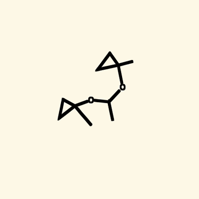 C[C](OC1(C)CC1)OC1(C)CC1